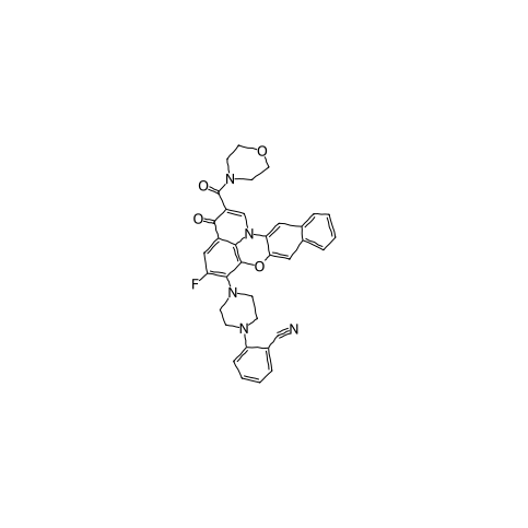 N#Cc1ccccc1N1CCN(c2c(F)cc3c(=O)c(C(=O)N4CCOCC4)cn4c3c2Oc2cc3ccccc3cc2-4)CC1